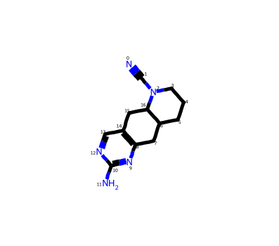 N#CN1CCCC2Cc3nc(N)ncc3CC21